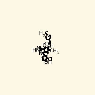 COc1c(OCCC2CCN(C)CC2)c(C)c(F)c2c(-c3ccc(O)c(Cl)c3)nc3[nH]ncc3c12